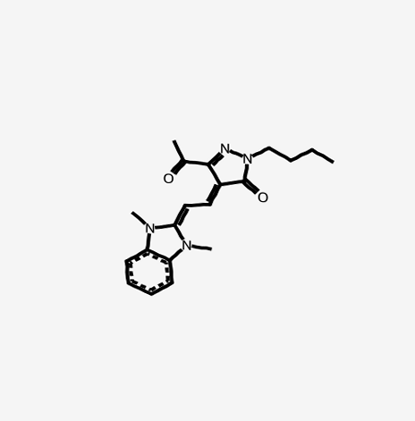 CCCCN1N=C(C(C)=O)/C(=C\C=C2N(C)c3ccccc3N2C)C1=O